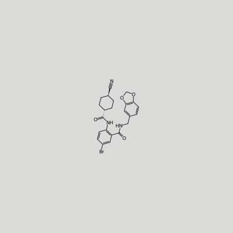 N#C[C@H]1CC[C@H](C(=O)Nc2ccc(Br)cc2C(=O)NCc2ccc3c(c2)OCO3)CC1